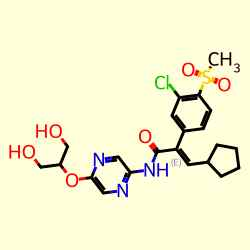 CS(=O)(=O)c1ccc(/C(=C\C2CCCC2)C(=O)Nc2cnc(OC(CO)CO)cn2)cc1Cl